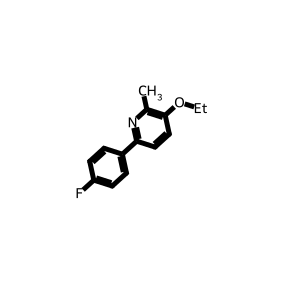 CCOc1ccc(-c2ccc(F)cc2)nc1C